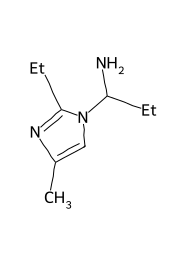 CCc1nc(C)cn1C(N)CC